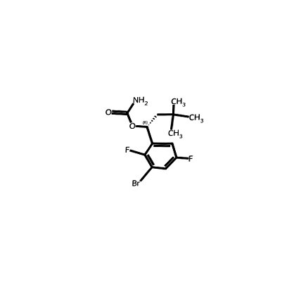 CC(C)(C)C[C@@H](OC(N)=O)c1cc(F)cc(Br)c1F